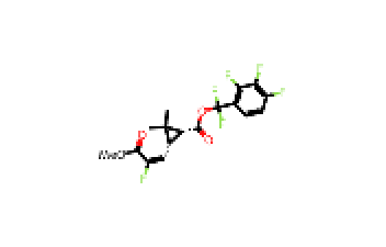 COC(=O)/C(F)=C\[C@H]1[C@@H](C(=O)OC(F)(F)c2ccc(F)c(F)c2F)C1(C)C